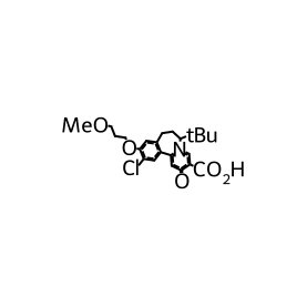 COCCCOc1cc2c(cc1Cl)-c1cc(=O)c(C(=O)O)cn1C(C(C)(C)C)CC2